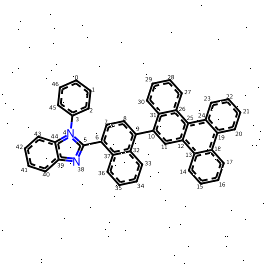 c1ccc(-n2c(-c3ccc(-c4cc5c6ccccc6c6ccccc6c5c5ccccc45)c4ccccc34)nc3ccccc32)cc1